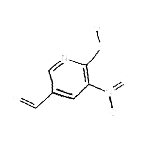 O=Cc1cnc(SCl)c([N+](=O)[O-])c1